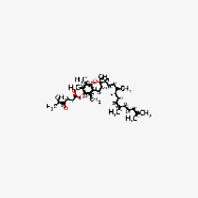 C=C(C)C(=O)CCC(=O)Oc1c(C)c(C)c2c(c1C)CCC(C)(CCCC(C)CCCC(C)CCCC(C)C)O2